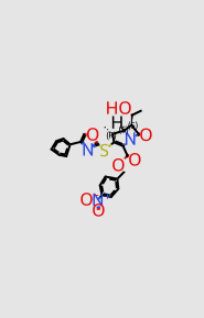 CC(O)[C@H]1C(=O)N2C(C(=O)OCc3ccc([N+](=O)[O-])cc3)=C(Sc3nc(-c4ccccc4)co3)[C@H](C)[C@H]12